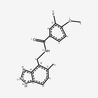 COc1ccc(C(=O)NCc2c(C)ccc3[nH]nnc23)cc1F